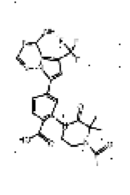 CC(=O)N1CCN(c2cc(-c3cc(C(F)(F)F)c4c(N)ncnn34)ccc2C(=O)O)C(=O)C1(C)C